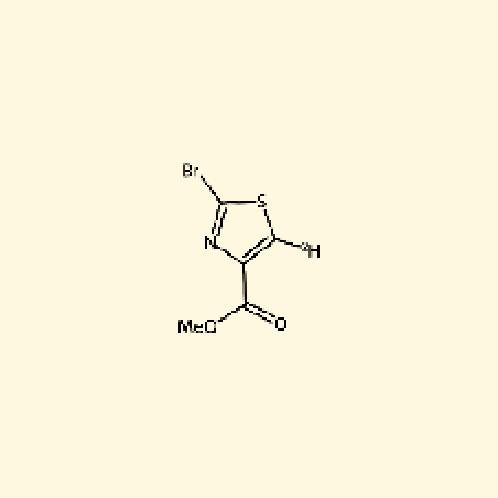 [2H]c1sc(Br)nc1C(=O)OC